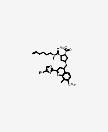 C=CCCCCN(C)C(=O)[C@@H]1C[C@H](CC2CC(c3nc(C(C)C)cs3)=Nc3c2ccc(OC)c3C)C[C@H]1C(=O)OC